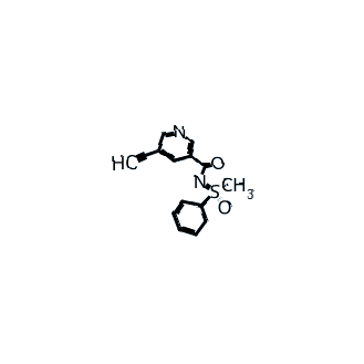 C#Cc1cncc(C(=O)N=[S@@](C)(=O)C2C=CC=CC2)c1